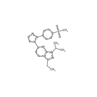 CCc1nn(C(C)C)c2nc(-c3ccnn3-c3ccc(S(C)(=O)=O)cc3)ccc12